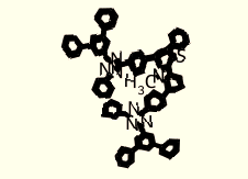 Cn1c2c(-c3ccc(-c4nc(-c5ccccc5)nc(-c5cc(-c6ccccc6)cc(-c6ccccc6)c5)n4)cc3)cccc2c2c3sc4ccccc4c3cc(-c3ccc(-c4nc(-c5ccccc5)nc(-c5cc(-c6ccccc6)cc(-c6ccccc6)c5)n4)cc3)c21